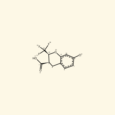 O=C(O)[C@@H]1Cc2ccc(Cl)cc2O[C@@H]1C(F)(F)F